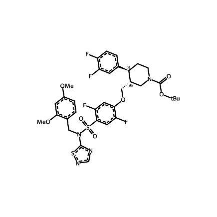 COc1ccc(CN(c2ncns2)S(=O)(=O)c2cc(F)c(OC[C@H]3CN(C(=O)OC(C)(C)C)CC[C@@H]3c3ccc(F)c(F)c3)cc2F)c(OC)c1